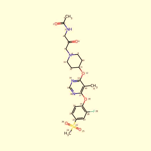 CC(=O)NCC(=O)CN1CCC(Oc2ncnc(Oc3ccc(S(C)(=O)=O)cc3F)c2C)CC1